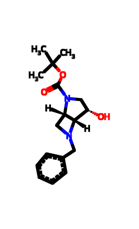 CC(C)(C)OC(=O)N1C[C@H](O)[C@H]2[C@@H]1CN2Cc1ccccc1